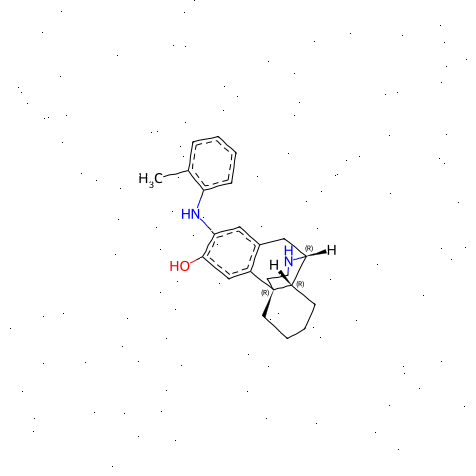 Cc1ccccc1Nc1cc2c(cc1O)[C@@]13CCCC[C@H]1[C@@H](C2)NCC3